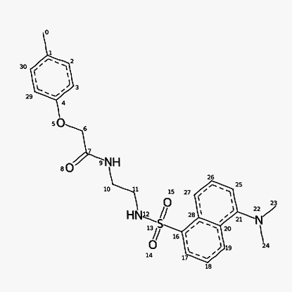 Cc1ccc(OCC(=O)NCCNS(=O)(=O)c2cccc3c(N(C)C)cccc23)cc1